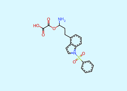 NC(CCc1cccc2c1ccn2S(=O)(=O)c1ccccc1)OC(=O)C(=O)O